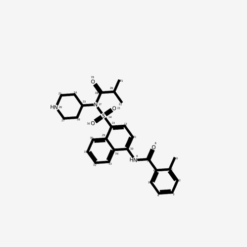 Cc1ccccc1C(=O)Nc1ccc(S(=O)(=O)N(C(=O)C(C)C)C2CCNCC2)c2ccccc12